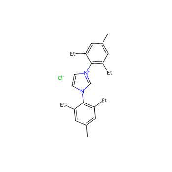 CCc1cc(C)cc(CC)c1-n1cc[n+](-c2c(CC)cc(C)cc2CC)c1.[Cl-]